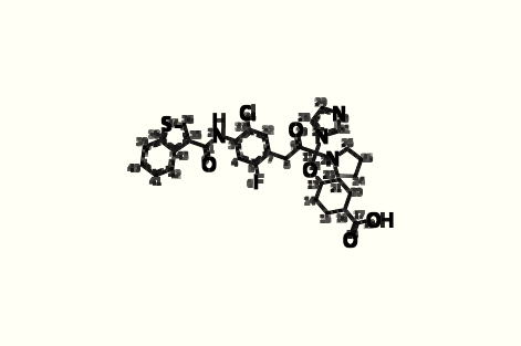 O=C(Nc1cc(F)c(CC(=O)C(OC2CCC(C(=O)O)CC2)(N2CCCC2)n2ccnc2)cc1Cl)c1csc2ccccc12